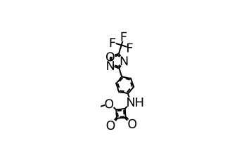 COc1c(Nc2ccc(-c3noc(C(F)(F)F)n3)cc2)c(=O)c1=O